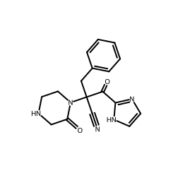 N#CC(Cc1ccccc1)(C(=O)c1ncc[nH]1)N1CCNCC1=O